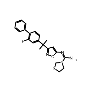 CC(C)(c1ccc(-c2ccccc2)c(F)c1)c1cc(N=C(N)N2CCSC2)on1